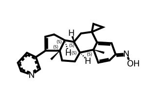 C[C@]12C=CC(=NO)C=C1C1(CC1)C[C@@H]1[C@@H]2CC[C@]2(C)C(c3cccnc3)=CC[C@@H]12